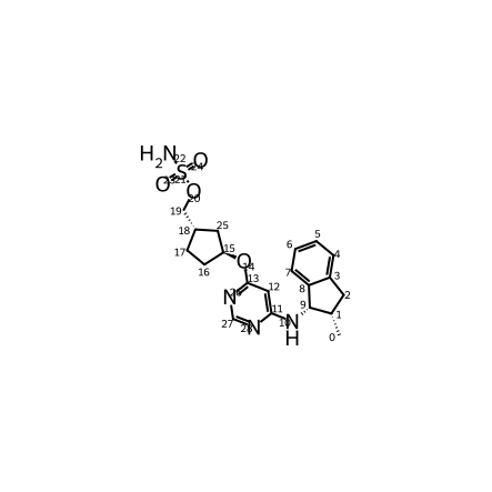 C[C@H]1Cc2ccccc2[C@H]1Nc1cc(O[C@H]2CC[C@H](COS(N)(=O)=O)C2)ncn1